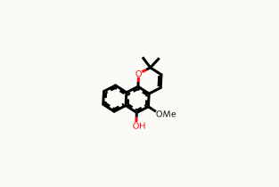 COc1c2c(c3ccccc3c1O)OC(C)(C)C=C2